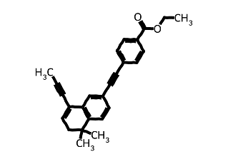 CC#CC1=CCC(C)(C)c2ccc(C#Cc3ccc(C(=O)OCC)cc3)cc21